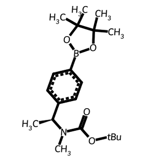 C[C@@H](c1ccc(B2OC(C)(C)C(C)(C)O2)cc1)N(C)C(=O)OC(C)(C)C